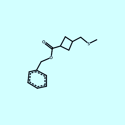 CSCC1CC(C(=O)OCc2ccccc2)C1